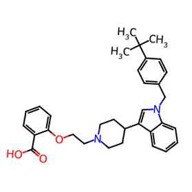 CC(C)(C)c1ccc(Cn2cc(C3CCN(CCOc4ccccc4C(=O)O)CC3)c3ccccc32)cc1